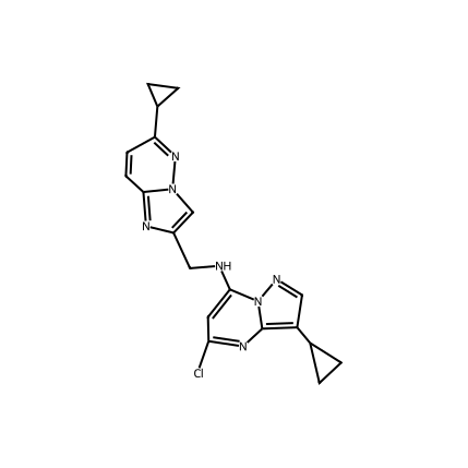 Clc1cc(NCc2cn3nc(C4CC4)ccc3n2)n2ncc(C3CC3)c2n1